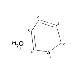 C1=CCSC=C1.O